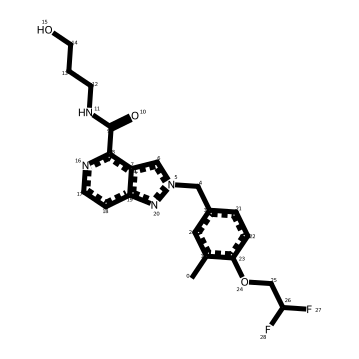 Cc1cc(Cn2cc3c(C(=O)NCCCO)nccc3n2)ccc1OCC(F)F